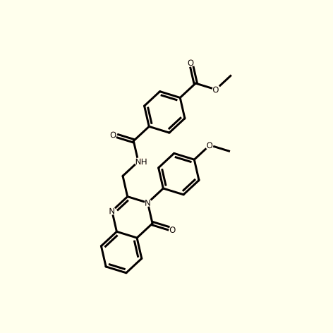 COC(=O)c1ccc(C(=O)NCc2nc3ccccc3c(=O)n2-c2ccc(OC)cc2)cc1